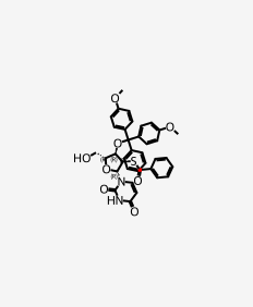 COc1ccc(C(O[C@H]2[C@@H](SC(=O)c3ccccc3)[C@H](n3ccc(=O)[nH]c3=O)O[C@@H]2CO)(c2ccccc2)c2ccc(OC)cc2)cc1